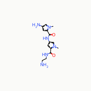 Cn1cc(NC(=O)c2cc(N)cn2C)cc1C(=O)NCCN